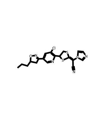 CCCC1CC(c2cnc(C3CS/C(=C(/C#N)n4ccnc4)S3)c(Cl)c2)=NO1